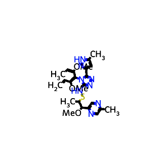 C=C/C(OC)=C(\C(=C/C)OC)n1c(NSC(C)C(OC)c2cnc(C)cn2)nnc1-c1cc(C)[nH]n1